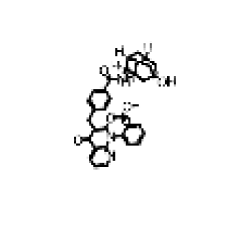 COC(=O)Oc1c(Cc2ccc(C(=O)N[C@@H]3[C@@H]4C[C@@H]5C[C@H]3C[C@](O)(C5)C4)cc2)c(=O)c2cccnc2n1-c1ccccc1